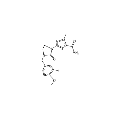 COc1ccc(CN2CCN(c3nc(C)c(C(N)=O)s3)C2=O)cc1F